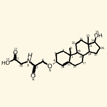 CC12CC[C@@H](OCC(=O)NCC(=O)O)C=C1CCC1C2CCC2(C)C(O)CCC12